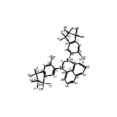 CC1(C)c2cc(Br)c(N3CN(c4cc5c(cc4Br)C(C)(C)C(C)(C)C5(C)C)c4cccc5cccc3c45)cc2C(C)(C)C1(C)C